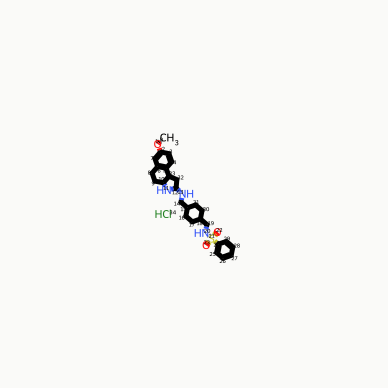 COc1ccc2c(c1)CCC1NC(NCC3CCC(CNS(=O)(=O)c4ccccc4)CC3)CC21.Cl